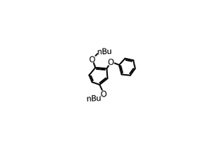 CCCCOc1ccc(OCCCC)c(Oc2ccccc2)c1